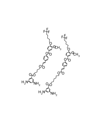 COc1cc(C(=O)Oc2ccc(C=CC(=O)OCCCCCCOC(=O)c3cc(N)cc(N)c3)cc2)ccc1OCCCCCC(F)(F)F.COc1cc(C(=O)Oc2ccc(C=CC(=O)OCCCCOC(=O)c3cc(N)cc(N)c3)cc2)ccc1OCCCCCC(F)(F)F